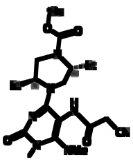 CC[C@@H]1CN(c2nc(=O)n(C)c(NC)c2NC(=O)CC#N)[C@@H](CC)CN1C(=O)OC(C)(C)C